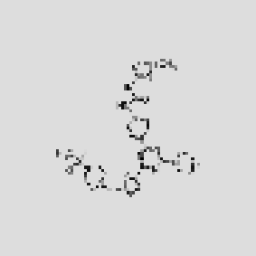 Cn1ccc(NC(=O)Nc2ccc(-c3nc(-c4ccc(CN5CCN(S(C)(=O)=O)CC5)s4)nc(N4CCOCC4)n3)cc2)n1